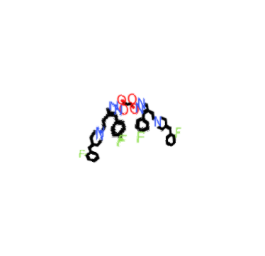 O=C(On1ncc(CCN2CCC(=Cc3ccccc3F)CC2)c1-c1ccc(F)cc1)C(=O)On1ncc(CCN2CCC(=Cc3ccccc3F)CC2)c1-c1ccc(F)cc1